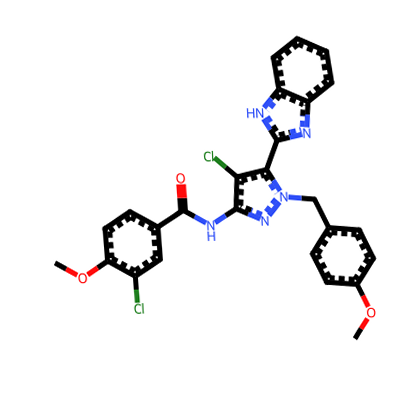 COc1ccc(Cn2nc(NC(=O)c3ccc(OC)c(Cl)c3)c(Cl)c2-c2nc3ccccc3[nH]2)cc1